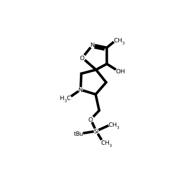 CC1=NOC2(CC(CO[Si](C)(C)C(C)(C)C)N(C)C2)C1O